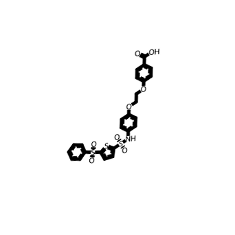 O=C(O)c1ccc(OCCOc2ccc(NS(=O)(=O)c3ccc(S(=O)(=O)c4ccccc4)s3)cc2)cc1